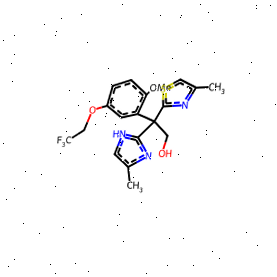 COc1ccc(OCC(F)(F)F)cc1C(CO)(c1nc(C)c[nH]1)c1nc(C)cs1